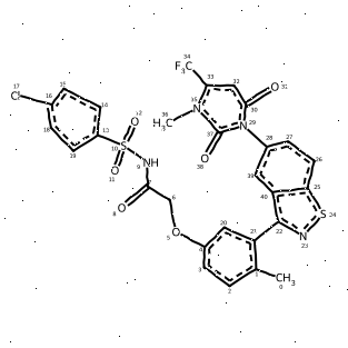 Cc1ccc(OCC(=O)NS(=O)(=O)c2ccc(Cl)cc2)cc1-c1nsc2ccc(-n3c(=O)cc(C(F)(F)F)n(C)c3=O)cc12